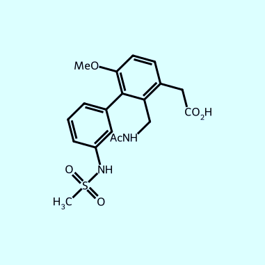 COc1ccc(CC(=O)O)c(CNC(C)=O)c1-c1cccc(NS(C)(=O)=O)c1